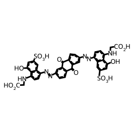 O=C(O)CNc1ccc(N=Nc2ccc3c(c2)C(=O)c2ccc(N=Nc4ccc(NCC(=O)O)c5c(O)cc(S(=O)(=O)O)cc45)cc2C3=O)c2cc(S(=O)(=O)O)cc(O)c12